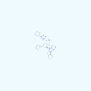 B1c2c(-c3cccc4c3[nH]c3c5ccccc5sc43)cc(-c3ccccc3)cc2-n2c3sc4ccccc4c3c3cccc1c32